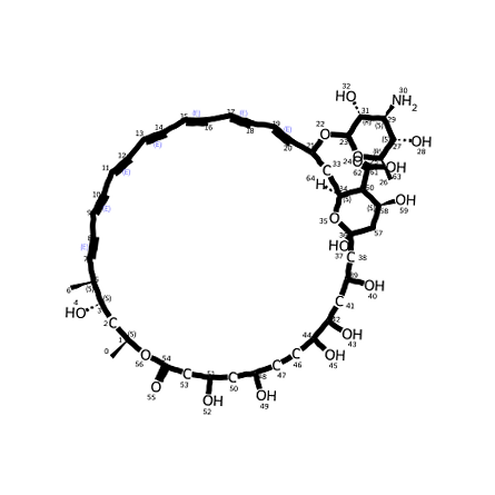 C[C@H]1C[C@H](O)[C@@H](C)/C=C/C=C/C=C/C=C/C=C/C=C/C=C/C(OC2O[C@H](C)[C@@H](O)[C@H](N)[C@H]2O)C[C@@H]2OC(O)(CC(O)CC(O)C(O)CCC(O)CC(O)CC(=O)O1)C[C@H](O)C2C(=O)O